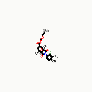 COCCOCOC(=O)[C@@H]1C[C@@]2(C)O[C@]1(C)[C@@H]1C(=O)N(c3ccc(C#N)c(C(F)(F)F)c3F)C(=O)[C@@H]12